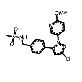 COc1ccc(-n2nc(Cl)cc2-c2ccc(CNS(C)(=O)=O)cc2)cn1